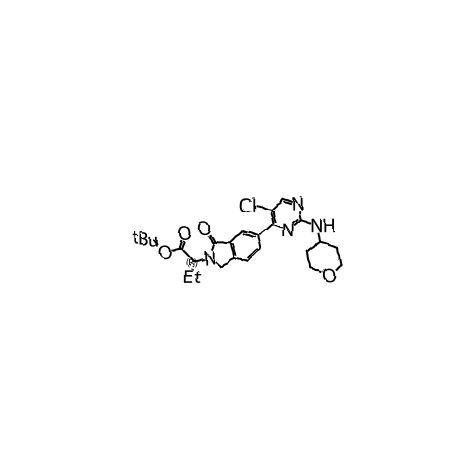 CC[C@H](C(=O)OC(C)(C)C)N1Cc2ccc(-c3nc(NC4CCOCC4)ncc3Cl)cc2C1=O